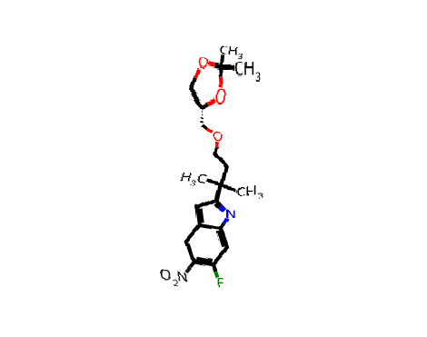 CC1(C)OC[C@@H](COCCC(C)(C)C2=NC3=CC(F)=C([N+](=O)[O-])CC3=C2)O1